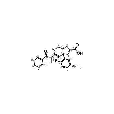 Nc1ccc(F)c(C23CN(C(=O)O)CC2CSC(NC(=O)c2ccccc2)=N3)c1